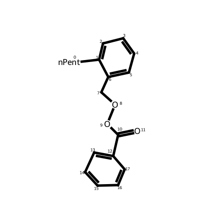 CCCCCc1ccccc1COOC(=O)c1ccccc1